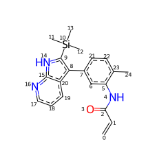 C=CC(=O)Nc1cc(-c2c([Si](C)(C)C)[nH]c3ncccc23)ccc1C